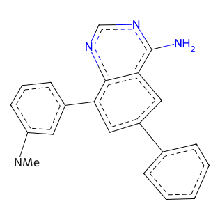 CNc1cccc(-c2cc(-c3ccccc3)cc3c(N)ncnc23)c1